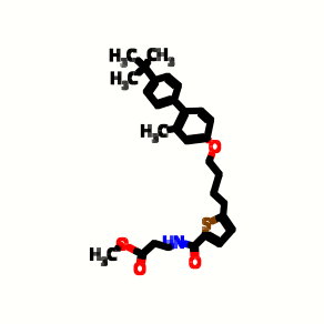 COC(=O)CCNC(=O)c1ccc(CCCCOc2ccc(-c3ccc(C(C)(C)C)cc3)c(C)c2)s1